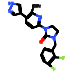 COc1nc(N2CCN(Cc3cccc(F)c3F)C2=O)ccc1-c1cn[nH]c1